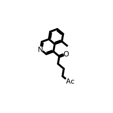 CC(=O)CCCC(=O)c1cncc2cccc(C)c12